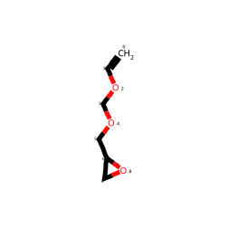 C=COCOCC1CO1